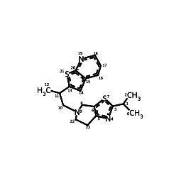 CC(C)c1nc2c(s1)CN(CC(C)c1cc3cccnc3s1)CC2